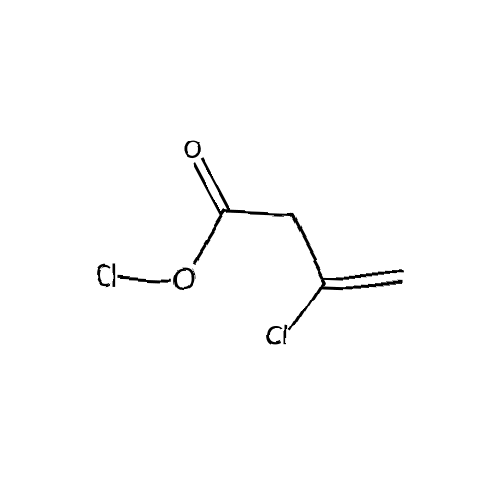 C=C(Cl)CC(=O)OCl